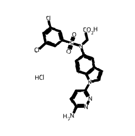 Cl.Nc1ccc(-n2ccc3cc(N(CC(=O)O)S(=O)(=O)c4cc(Cl)cc(Cl)c4)ccc32)nn1